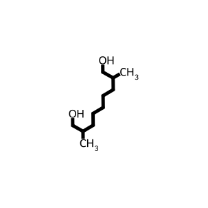 CC(CO)CCCCCC(C)CO